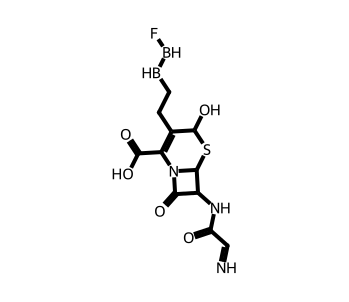 N=CC(=O)NC1C(=O)N2C(C(=O)O)=C(CCBBF)C(O)SC12